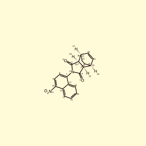 O=C1[C@@H]2[C@H](C(=O)N1c1ccc([N+](=O)[O-])c3ccccc13)[C@@H]1C=C[C@H]2CC1